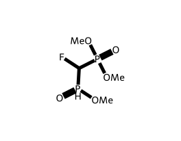 CO[PH](=O)C(F)P(=O)(OC)OC